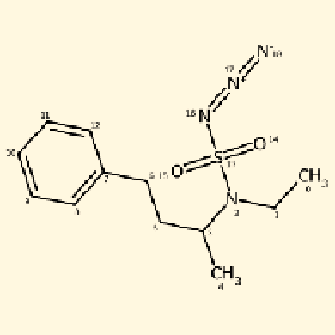 CCN(C(C)CCc1ccccc1)S(=O)(=O)N=[N+]=[N-]